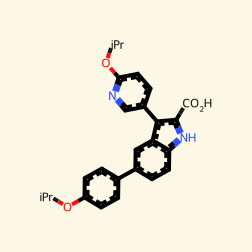 CC(C)Oc1ccc(-c2ccc3[nH]c(C(=O)O)c(-c4ccc(OC(C)C)nc4)c3c2)cc1